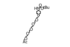 CC(=O)COCCOCCOCCOCCOCCN1CCC(NC(=O)OC(C)(C)C)CC1